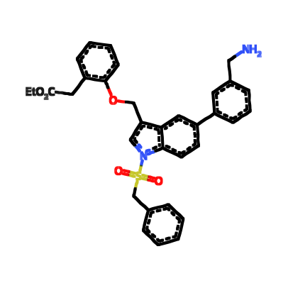 CCOC(=O)Cc1ccccc1OCc1cn(S(=O)(=O)Cc2ccccc2)c2ccc(-c3cccc(CN)c3)cc12